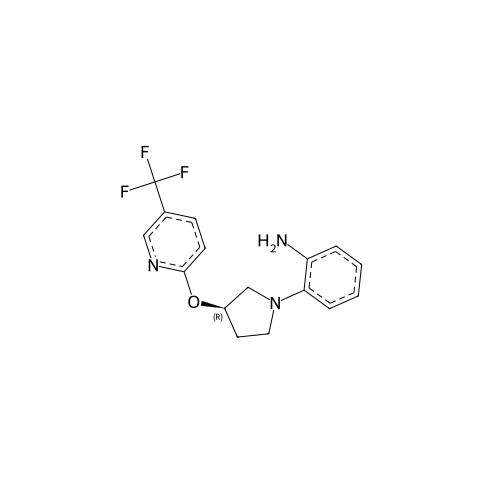 Nc1ccccc1N1CC[C@@H](Oc2ccc(C(F)(F)F)cn2)C1